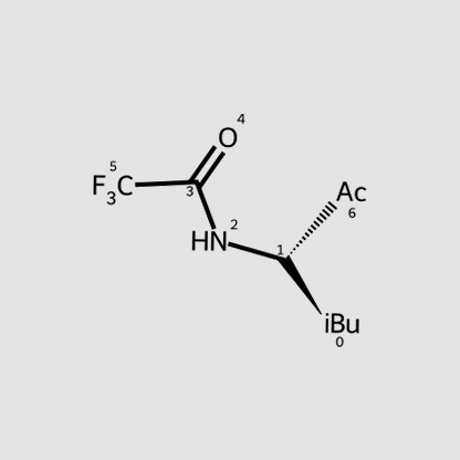 CC[C@H](C)[C@H](NC(=O)C(F)(F)F)C(C)=O